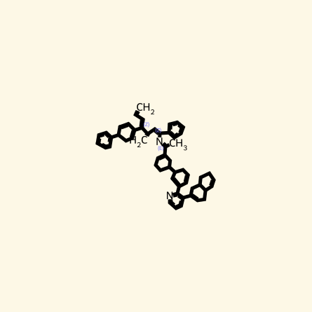 C=C/C=C(/C(=C)/C=C(\N=C(/C)C1=CCCC(C2C=C(c3ncccc3C3=CCC4C=CCCC4C3)C=CC2)C1)c1ccccc1)C1=CCC(c2ccccc2)C=C1